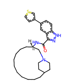 O=C(N[C@H]1CCCCCCCCCCC2CCN(CC2)C1)c1n[nH]c2ccc(-c3ccsc3)cc12